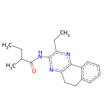 CCc1nc2c(nc1NC(=O)C(C)CC)CCc1ccccc1-2